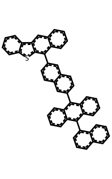 c1ccc2c(-c3c4ccccc4c(-c4ccc5cc(-c6c7ccccc7cc7c6sc6ccccc67)ccc5c4)c4ccccc34)cccc2c1